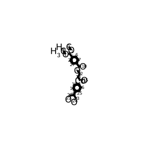 COC(OC)c1ccc(C(=O)OC[CH2][Co](=[O])[c]2ccc(C(C=O)C=O)cc2)cc1